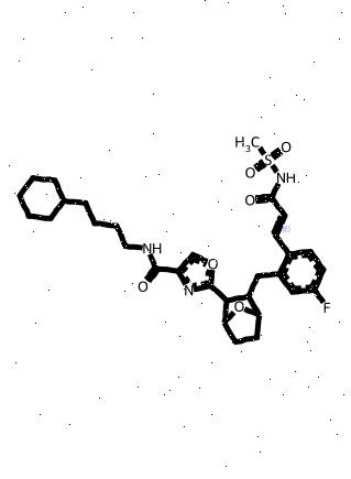 CS(=O)(=O)NC(=O)/C=C/c1ccc(F)cc1CC1C2CCC(O2)C1c1nc(C(=O)NCCCCC2CCCCC2)co1